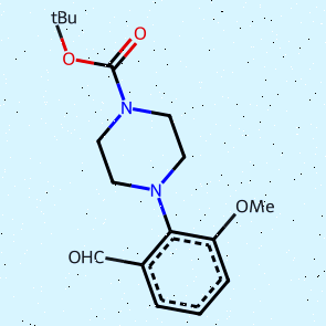 COc1cccc(C=O)c1N1CCN(C(=O)OC(C)(C)C)CC1